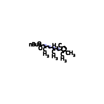 CCCCOC(=O)/C=C(C)/C=C/C=C(C)/C=C/c1c(C)ccc(C)c1C